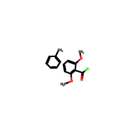 COc1cccc(OC)c1C(=O)Cl.Cc1ccccc1